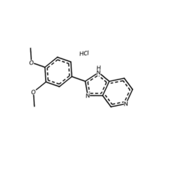 COc1ccc(-c2nc3cnccc3[nH]2)cc1OC.Cl